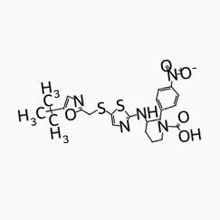 CC(C)(C)c1cnc(CSc2cnc(NC3CCCN(C(=O)O)C3c3ccc([N+](=O)[O-])cc3)s2)o1